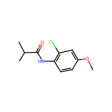 COc1ccc(NC(=O)C(C)C)c(Cl)c1